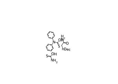 CCCCCCCCCCCC(N)=O.NC(O)=S.OC(=S)N(c1ccccc1)c1ccccc1